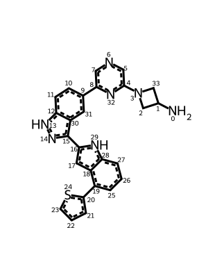 NC1CN(c2cncc(-c3ccc4[nH]nc(-c5cc6c(-c7cccs7)cccc6[nH]5)c4c3)n2)C1